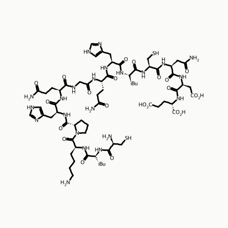 CC[C@H](C)[C@H](NC(=O)[C@H](Cc1c[nH]cn1)NC(=O)[C@H](CCC(N)=O)NC(=O)CNC(=O)[C@H](CCC(N)=O)NC(=O)[C@H](Cc1c[nH]cn1)NC(=O)[C@@H]1CCCN1C(=O)[C@H](CCCCN)NC(=O)[C@@H](NC(=O)[C@@H](N)CS)[C@@H](C)CC)C(=O)N[C@@H](CS)C(=O)N[C@@H](CC(N)=O)C(=O)N[C@@H](CC(=O)O)C(=O)N[C@@H](CCC(=O)O)C(=O)O